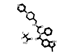 Cc1c[nH]c2cc(C(=O)N(CC(=O)NCC3CCN(c4ccncc4)CC3)c3ccccc3)ccc12.O=C(O)C(F)(F)F